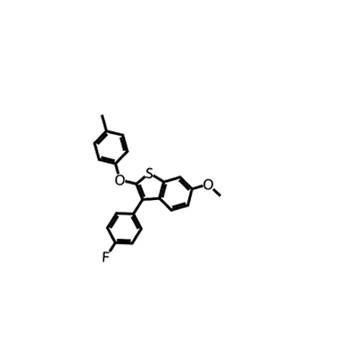 COc1ccc2c(-c3ccc(F)cc3)c(Oc3ccc(C)cc3)sc2c1